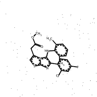 COC(=O)Cc1csc2nc(-c3ccc(F)cc3Cl)c(Nc3c(C)cccc3C)n12